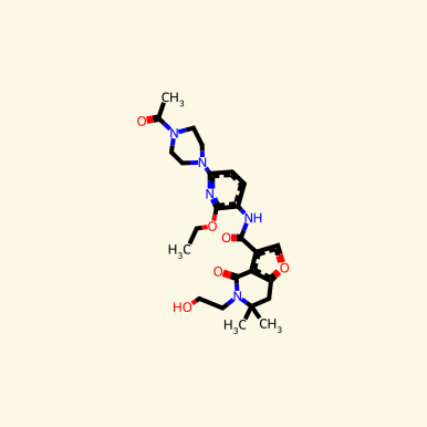 CCOc1nc(N2CCN(C(C)=O)CC2)ccc1NC(=O)c1coc2c1C(=O)N(CCO)C(C)(C)C2